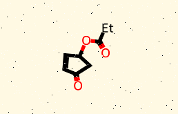 CCC(=O)OC1C=CC(=O)C1